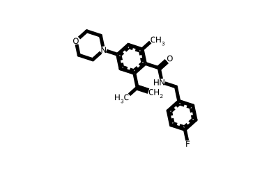 C=C(C)c1cc(N2CCOCC2)cc(C)c1C(=O)NCc1ccc(F)cc1